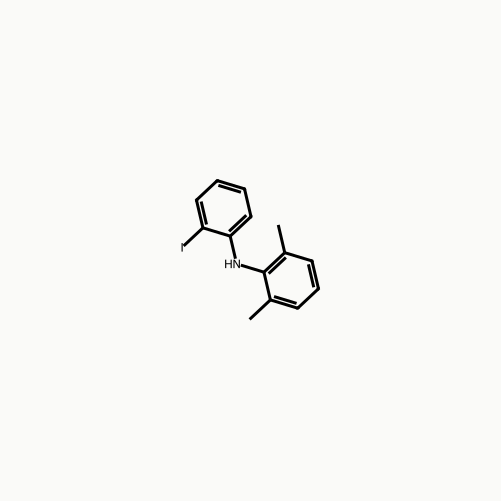 Cc1cccc(C)c1Nc1ccccc1I